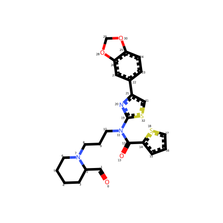 O=CC1CCCCN1CCCN(C(=O)c1cccs1)c1nc(-c2ccc3c(c2)OCO3)cs1